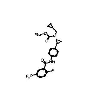 CC(C)(C)OC(=O)N(CC1CC1)[C@@H]1C[C@H]1c1ccc(NC(=O)c2cc(C(F)(F)F)ccc2F)cc1